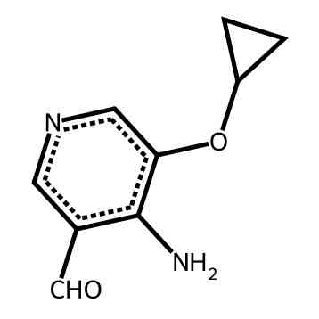 Nc1c(C=O)cncc1OC1CC1